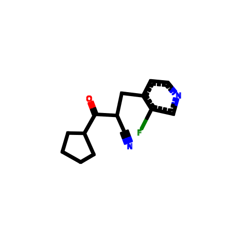 N#CC(Cc1ccncc1F)C(=O)C1CCCC1